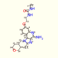 CCc1nc2c(N)nc3cc(OCCNC(=O)NC(C)C)ccc3c2n1CC1CCOCC1